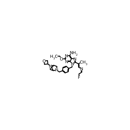 CCOc1nc(N)c2nc(/C(C)=C/N=C\CF)n(Cc3ccc(CN4CC5CC4CN5C4COC4)cc3)c2n1